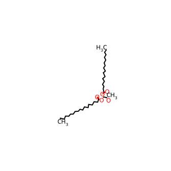 CCCCCCCCCCCCCCCCCC(=O)OC(OC(=O)CCCCCCCCCCCCCCCCC)C(C)=O